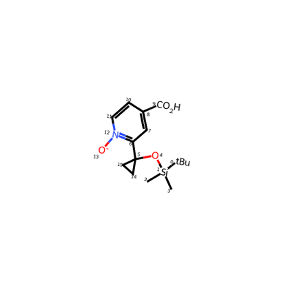 CC(C)(C)[Si](C)(C)OC1(c2cc(C(=O)O)cc[n+]2[O-])CC1